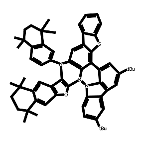 CC(C)(C)c1ccc2c(c1)c1cc(C(C)(C)C)cc3c1n2B1c2oc4cc5c(cc4c2N(c2ccc4c(c2)C(C)(C)CCC4(C)C)c2cc4c(sc6ccccc64)c-3c21)C(C)(C)CCC5(C)C